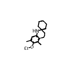 CCOc1c(C)cc2c(c1C)CCC1(CCCCC1)N2